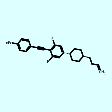 C=CCC[C@H]1CC[C@H](c2cc(F)c(C#Cc3ccc(CCC)cc3)c(F)c2)CC1